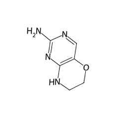 Nc1ncc2c(n1)NCCO2